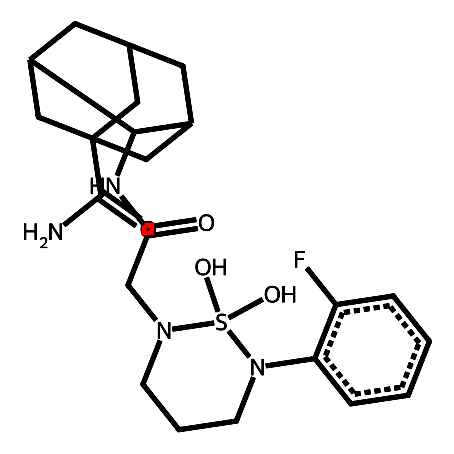 NC(=O)C12CC3CC(C1)C(NC(=O)CN1CCCN(c4ccccc4F)S1(O)O)C(C3)C2